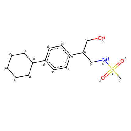 CS(=O)(=O)NCC(CO)c1ccc(C2CCCCC2)cc1